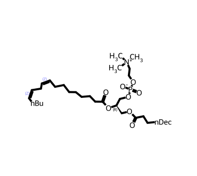 CCCC/C=C\C/C=C\CCCCCCCC(=O)O[C@H](COC(=O)CCCCCCCCCCCC)COP(=O)([O-])OCC[N+](C)(C)C